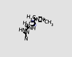 C/C=C(\C=C/CNC(=O)c1nc(C#N)c[nH]1)C(C)N1CCN(CC)CC1